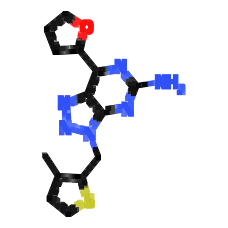 Cc1ccsc1Cn1nnc2c(-c3ccco3)nc(N)nc21